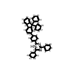 c1ccc(C2=NC(c3ccc(-c4ccc5c(c4)C(c4ccccc4)(c4ccccc4)c4ccccc4-5)cc3)NC(c3ccccc3)=N2)cc1